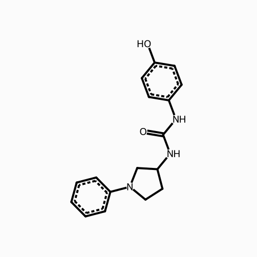 O=C(Nc1ccc(O)cc1)NC1CCN(c2ccccc2)C1